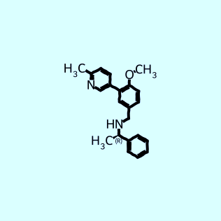 COc1ccc(CN[C@H](C)c2ccccc2)cc1-c1ccc(C)nc1